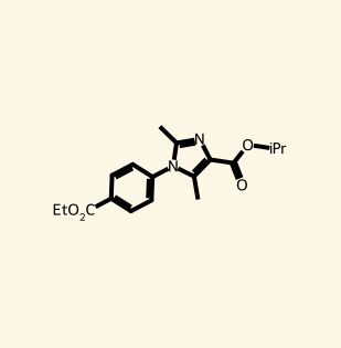 CCOC(=O)c1ccc(-n2c(C)nc(C(=O)OC(C)C)c2C)cc1